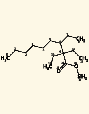 CCCCCCC(CC)C(CC)(CC)C(=O)O[SiH3]